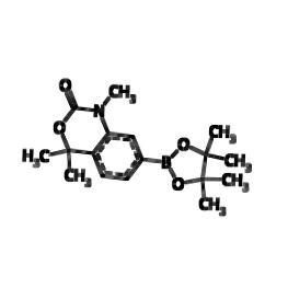 CN1C(=O)OC(C)(C)c2ccc(B3OC(C)(C)C(C)(C)O3)cc21